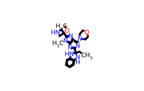 CCC1(c2nc(N3CCOCC3)c3nc(C4(OC)CNC4)n(C)c3n2)Nc2ccccc2N1